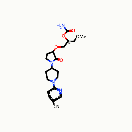 COC[C@@H](COC1CCN(C2CCN(c3ccc(C#N)cn3)CC2)C1=O)OC(N)=O